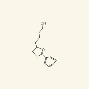 OCCCCC1COB(c2ccccc2)O1